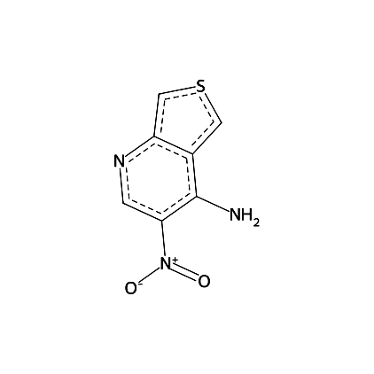 Nc1c([N+](=O)[O-])cnc2cscc12